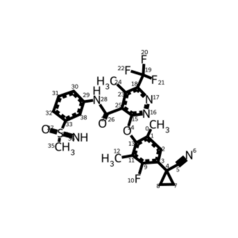 Cc1cc(C2(C#N)CC2)c(F)c(C)c1Oc1nnc(C(F)(F)F)c(C)c1C(=O)Nc1cccc(S(C)(=N)=O)c1